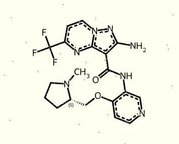 CN1CCC[C@H]1COc1ccncc1NC(=O)c1c(N)nn2ccc(C(F)(F)F)nc12